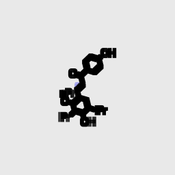 CCCOc1c(/C=C/C(=O)c2ccc(O)cc2)cc(C(C)C)c(O)c1C(C)C